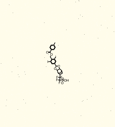 Cc1ccc(C(=O)OCc2c(I)cc(C3OC4C5CC(C4O3)C(C(F)(F)C(F)(F)S(=O)(=O)O)C5)cc2I)cc1